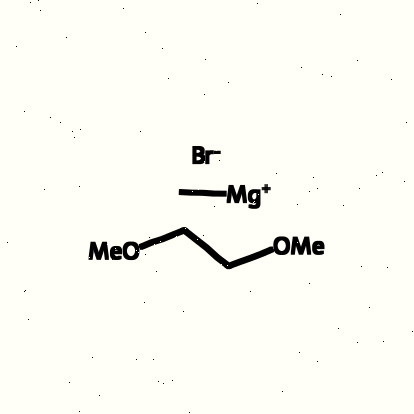 COCCOC.[Br-].[CH3][Mg+]